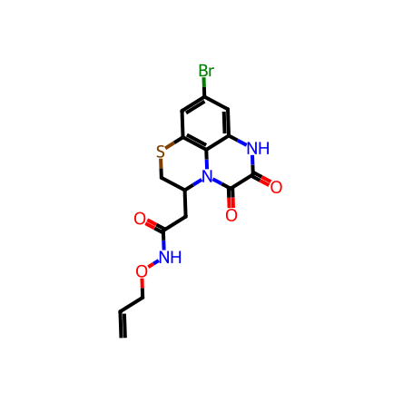 C=CCONC(=O)CC1CSc2cc(Br)cc3[nH]c(=O)c(=O)n1c23